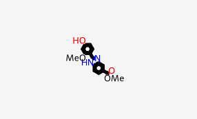 COC(=O)c1ccc2[nH]c(-c3ccc(O)cc3OC)nc2c1